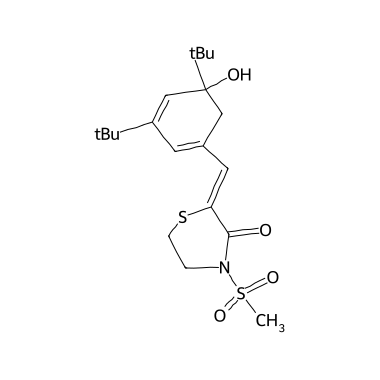 CC(C)(C)C1=CC(O)(C(C)(C)C)CC(C=C2SCCN(S(C)(=O)=O)C2=O)=C1